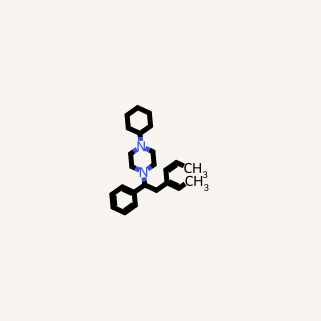 C/C=C\C(=C/C)CC(c1ccccc1)N1CCN(C2CCCCC2)CC1